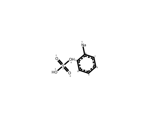 O=S(=O)(O)O.[Na][c]1ccccc1